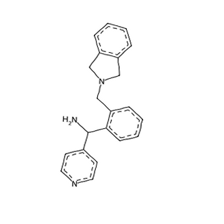 NC(c1ccncc1)c1ccccc1CN1Cc2ccccc2C1